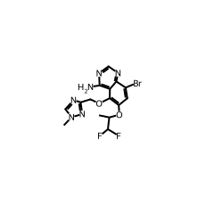 CC(Oc1cc(Br)c2ncnc(N)c2c1OCc1ncn(C)n1)C(F)F